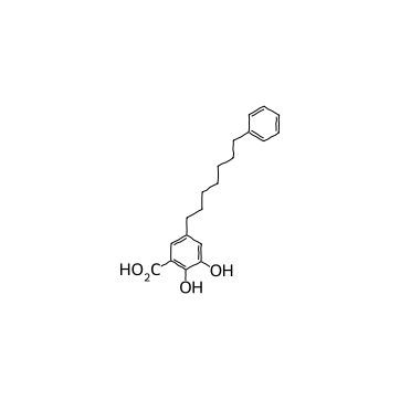 O=C(O)c1cc(CCCCCCCc2ccccc2)cc(O)c1O